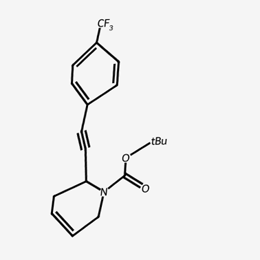 CC(C)(C)OC(=O)N1CC=CCC1C#Cc1ccc(C(F)(F)F)cc1